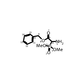 COP(=O)(OC)C(N)C(=O)OCc1ccccc1